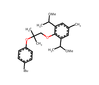 CCC(C)c1ccc(OC(C)(C)COc2c(C(C)OC)cc(C)cc2C(C)OC)cc1